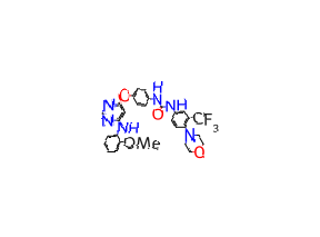 COc1ccccc1Nc1cc(Oc2ccc(NC(=O)Nc3ccc(N4CCOCC4)c(C(F)(F)F)c3)cc2)ncn1